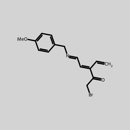 C=C/C(=C\C=N\Cc1ccc(OC)cc1)C(=O)CBr